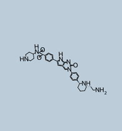 NCC[C@@H]1CCC[C@@H](c2ccc(-n3cc4cc(-c5ccc(S(=O)(=O)NC6CCNCC6)cc5)[nH]c4nc3=O)cc2)N1